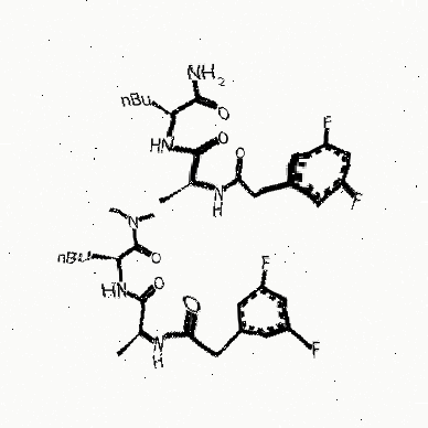 CCCC[C@H](NC(=O)[C@H](C)NC(=O)Cc1cc(F)cc(F)c1)C(=O)N(C)C.CCCC[C@H](NC(=O)[C@H](C)NC(=O)Cc1cc(F)cc(F)c1)C(N)=O